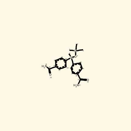 C[Si](C)(C)O[Si](C)(c1ccc(C(N)=O)cc1)c1ccc(C(N)=O)cc1